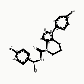 CC[C@H](NC(=O)N1CCCc2c1cnn2-c1ccc(F)cc1)c1ccc(Br)nc1